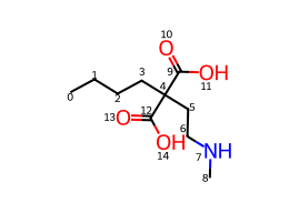 CCCCC(CCNC)(C(=O)O)C(=O)O